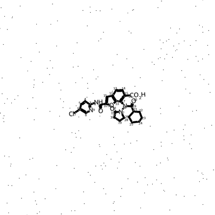 O=C(Nc1ccc(Cl)cn1)c1cc2ccc(C(=O)O)c(N(C(=O)C3CCCCC3)N3CCCC3=O)c2o1